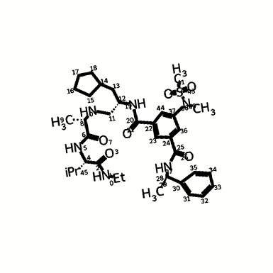 CCNC(=O)[C@@H](NC(=O)[C@H](C)NC[C@H](CC1CCCC1)NC(=O)c1cc(C(=O)N[C@H](C)c2ccccc2)cc(N(C)S(C)(=O)=O)c1)C(C)C